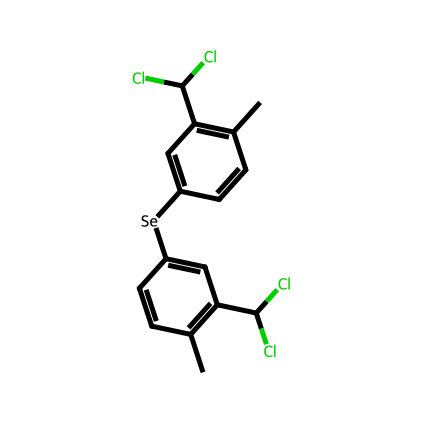 Cc1ccc([Se]c2ccc(C)c(C(Cl)Cl)c2)cc1C(Cl)Cl